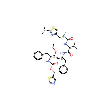 CCO[C@@H](C[C@H](Cc1ccccc1)NC(=O)[C@@H](NC(=O)N(C)Cc1csc(C(C)C)n1)C(C)C)[C@H](Cc1ccccc1)N(C)C(=O)OCc1cncs1